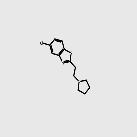 Clc1ccc2sc(CCN3CCCC3)nc2c1